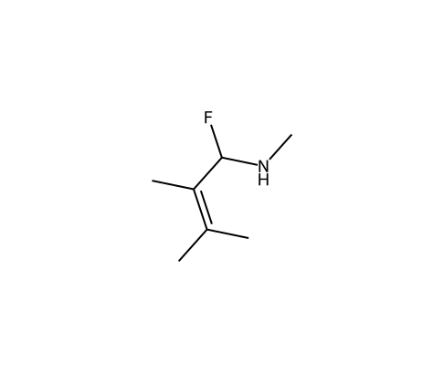 CNC(F)C(C)=C(C)C